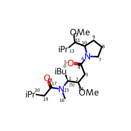 CCC(C)[C@@H](C(CC(=O)N1CCCC1C(OC)C(C)C)OC)N(C)C(=O)CC(C)C